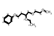 CCOC(CCOc1ccccc1)COCCOC